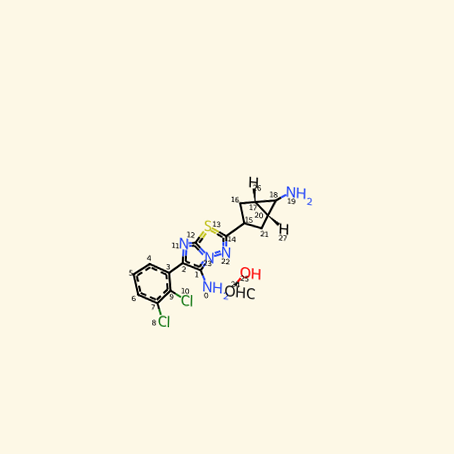 Nc1c(-c2cccc(Cl)c2Cl)nc2sc(C3C[C@@H]4C(N)[C@@H]4C3)nn12.O=CO